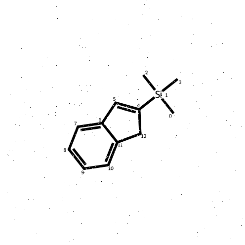 C[Si](C)(C)C1=Cc2ccccc2C1